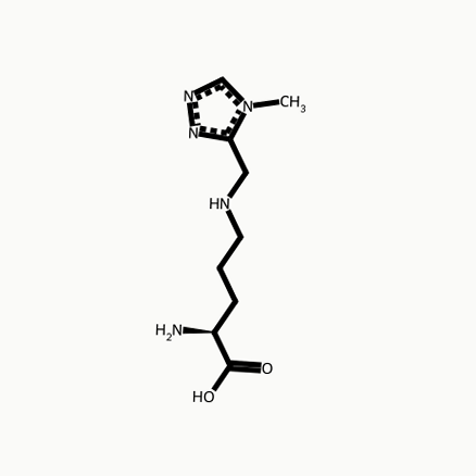 Cn1cnnc1CNCCC[C@H](N)C(=O)O